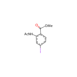 COC(=O)c1ccc(I)cc1NC(C)=O